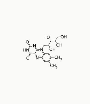 Cc1cc2nc3c(=O)[nH]c(=O)nc-3n(C[C@H](O)[C@H](O)C(O)CO)c2cc1C